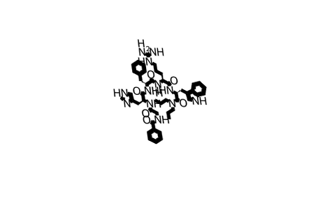 CCCN(CCC)C(=O)[C@@H](Cc1c[nH]c2ccccc12)NC(=O)[C@H](CCCNC(=N)N)NC(=O)[C@@H](Cc1ccccc1)NC(=O)[C@H](Cc1c[nH]cn1)NC(=O)CNC(=O)c1ccccc1